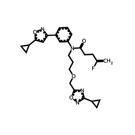 C=C(F)CCC(=O)N(CCCOCc1nc(C2CC2)no1)c1cccc(-c2cc(C3CC3)on2)c1